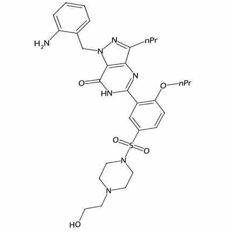 CCCOc1ccc(S(=O)(=O)N2CCN(CCO)CC2)cc1-c1nc2c(CCC)nn(Cc3ccccc3N)c2c(=O)[nH]1